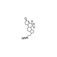 C[C@H](CN=[N+]=[N-])C1CCC2C3C(CC[C@@]21C)[C@@]1(C)CCC(=O)C=C1[C@H]1O[C@@H]31